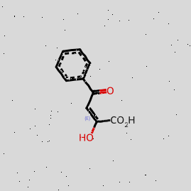 O=C(O)/C(O)=C\C(=O)c1ccccc1